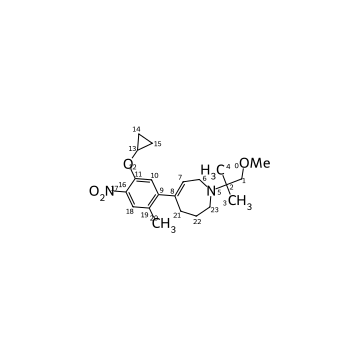 COCC(C)(C)N1CC=C(c2cc(OC3CC3)c([N+](=O)[O-])cc2C)CCC1